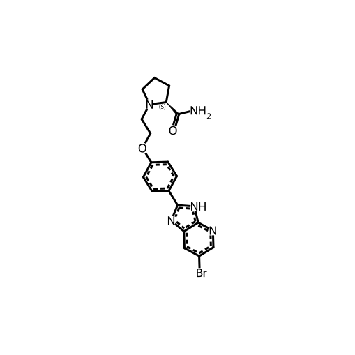 NC(=O)[C@@H]1CCCN1CCOc1ccc(-c2nc3cc(Br)cnc3[nH]2)cc1